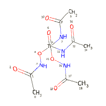 CC(=O)N[O][Ti](=[O])([NH]C(C)=O)([NH]C(C)=O)[O]NC(C)=O